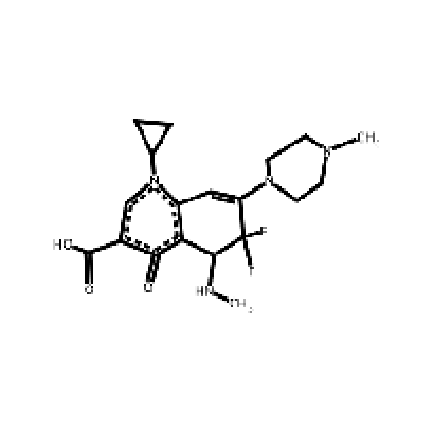 CNC1c2c(n(C3CC3)cc(C(=O)O)c2=O)C=C(N2CCN(C)CC2)C1(F)F